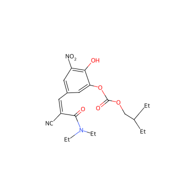 CCC(CC)COC(=O)Oc1cc(/C=C(/C#N)C(=O)N(CC)CC)cc([N+](=O)[O-])c1O